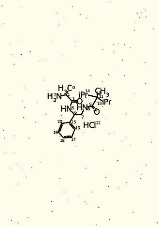 CC(N)C(=O)NC(CNC(=O)C(C)(C(C)C)C(C)C)c1ccccc1.Cl